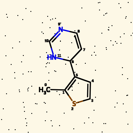 Cc1sccc1C1C=CN=CN1